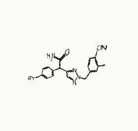 Cc1cc(Cn2ncc(C(C(N)=O)c3ccc(C(C)C)cc3)n2)ccc1C#N